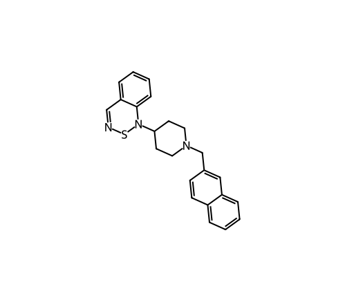 C1=NSN(C2CCN(Cc3ccc4ccccc4c3)CC2)c2ccccc21